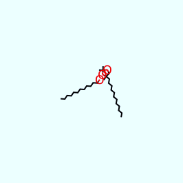 CCCCCCCCCCCCOCC1(CCCCCCCCCCCC)COC(C)(C)O1